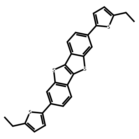 CCc1ccc(-c2ccc3c(c2)sc2c4ccc(-c5ccc(CC)s5)cc4sc32)s1